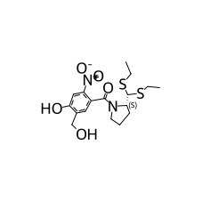 CCSC(SCC)[C@@H]1CCCN1C(=O)c1cc(CO)c(O)cc1[N+](=O)[O-]